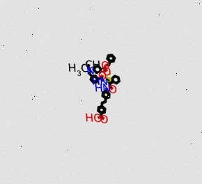 CC(C)N(Cc1cccc(C(=O)Nc2sc3c(c2C(=O)Nc2ccc(CCc4ccc(C(=O)O)cc4)cc2)CCCC3)c1)[C@H]1CC[C@@H](C(=O)OCc2ccccc2)CC1